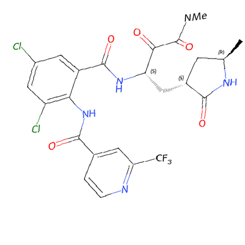 CNC(=O)C(=O)[C@H](C[C@@H]1C[C@@H](C)NC1=O)NC(=O)c1cc(Cl)cc(Cl)c1NC(=O)c1ccnc(C(F)(F)F)c1